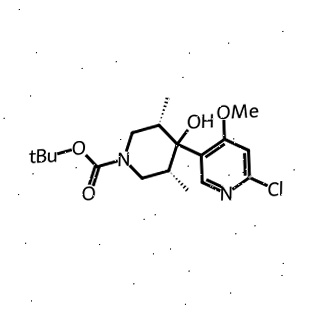 COc1cc(Cl)ncc1C1(O)[C@H](C)CN(C(=O)OC(C)(C)C)C[C@@H]1C